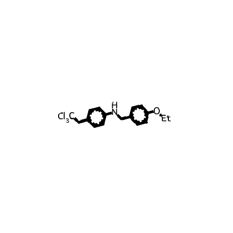 CCOc1ccc(CNc2ccc(CC(Cl)(Cl)Cl)cc2)cc1